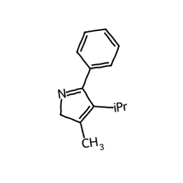 CC1=C(C(C)C)C(c2ccccc2)=NC1